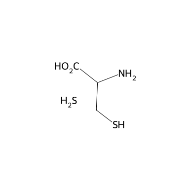 NC(CS)C(=O)O.S